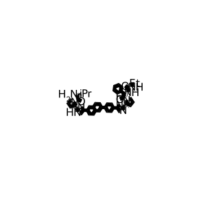 CCNC(=O)N[C@@H](C(=O)N1CCC[C@H]1c1ncc(-c2ccc(-c3ccc4cc(-c5c[nH]c([C@@H]6CCCN6C(=O)[C@@H](N)C(C)C)n5)ccc4c3)cc2)[nH]1)c1ccccc1